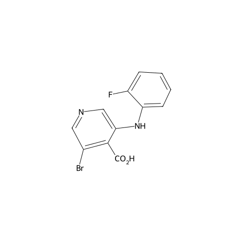 O=C(O)c1c(Br)cncc1Nc1ccccc1F